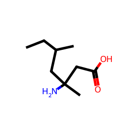 CCC(C)CC(C)(N)CC(=O)O